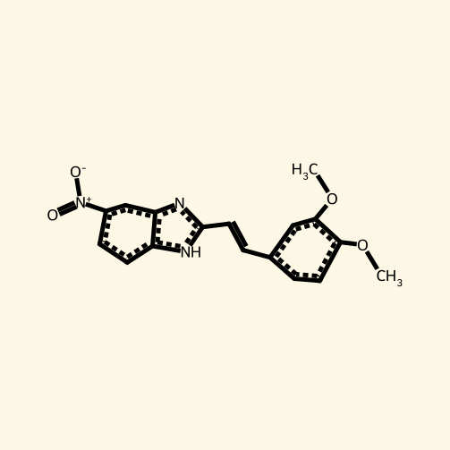 COc1ccc(C=Cc2nc3cc([N+](=O)[O-])ccc3[nH]2)cc1OC